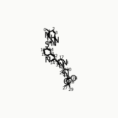 Cc1ccc2nnc(Sc3ccc4ncc(-c5cnn(C6CN(C(=O)OC(C)(C)C)C6)c5)cc4c3)n2n1